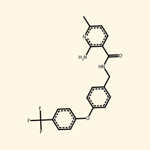 Cc1ccc(C(=O)NCc2ccc(Oc3ccc(C(F)(F)F)cc3)cc2)c(N)n1